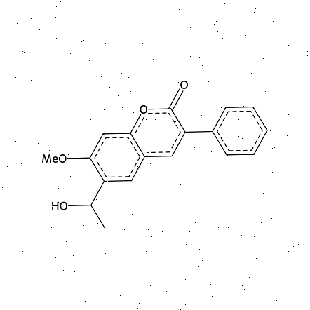 COc1cc2oc(=O)c(-c3ccccc3)cc2cc1C(C)O